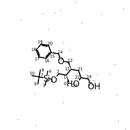 C[C@@H](CO[Si](C)(C)C(C)(C)C)[C@@H](COCc1ccccc1)CC(O)CO